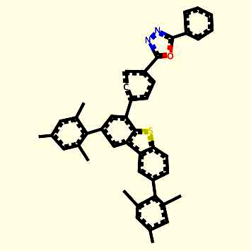 Cc1cc(C)c(-c2ccc3sc4c(-c5ccc(-c6nnc(-c7ccccc7)o6)cc5)cc(-c5c(C)cc(C)cc5C)cc4c3c2)c(C)c1